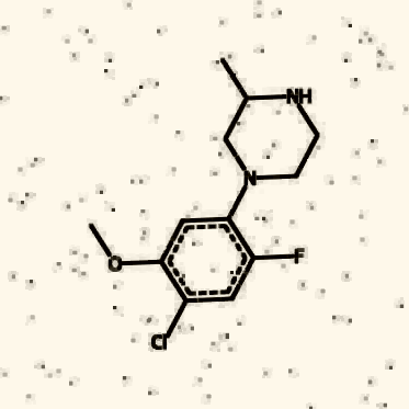 COc1cc(N2CCNC(C)C2)c(F)cc1Cl